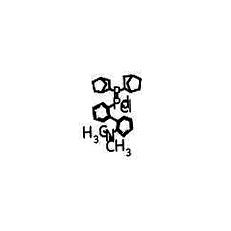 CN(C)c1ccccc1-c1cccc[c]1[Pd]([Cl])[P](C1CC2CCC1C2)C1CC2CCC1C2